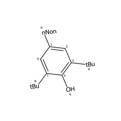 CCCCCCCCCc1cc(C(C)(C)C)c(O)c(C(C)(C)C)c1